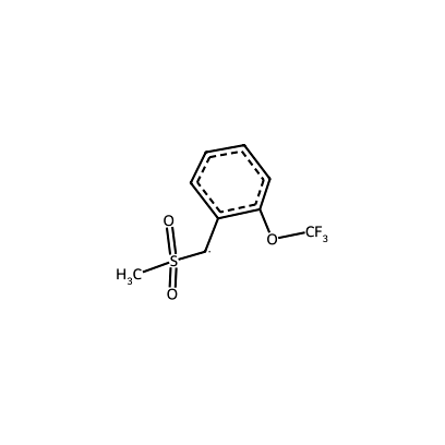 CS(=O)(=O)[CH]c1ccccc1OC(F)(F)F